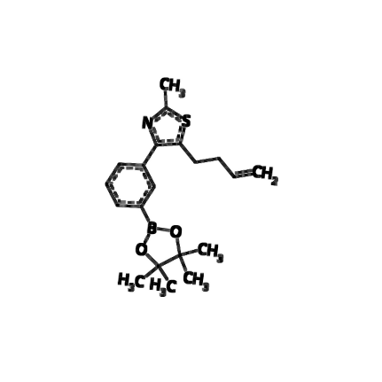 C=CCCc1sc(C)nc1-c1cccc(B2OC(C)(C)C(C)(C)O2)c1